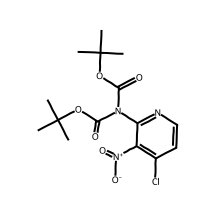 CC(C)(C)OC(=O)N(C(=O)OC(C)(C)C)c1nccc(Cl)c1[N+](=O)[O-]